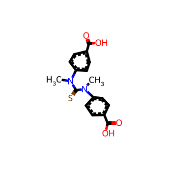 CN(C(=S)N(C)c1ccc(C(=O)O)cc1)c1ccc(C(=O)O)cc1